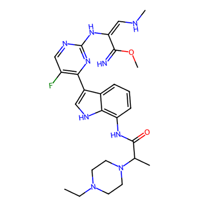 CCN1CCN(C(C)C(=O)Nc2cccc3c(-c4nc(N/C(=C/NC)C(=N)OC)ncc4F)c[nH]c23)CC1